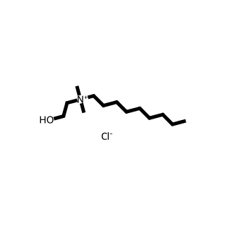 CCCCCCCCC[N+](C)(C)CCO.[Cl-]